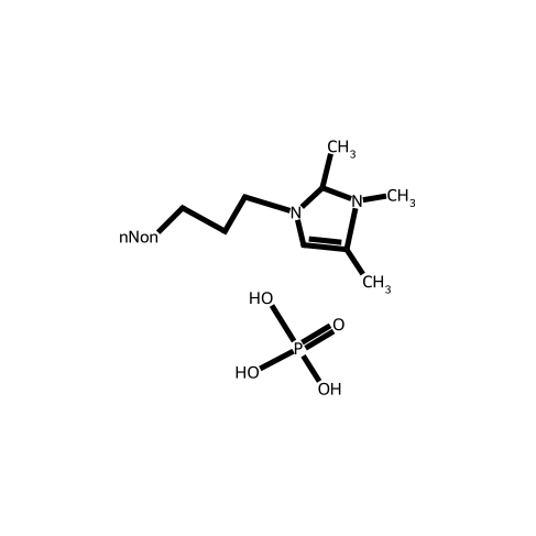 CCCCCCCCCCCCN1C=C(C)N(C)C1C.O=P(O)(O)O